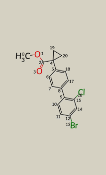 COC(=O)C1(c2ccc(-c3ccc(Br)cc3Cl)cc2)CC1